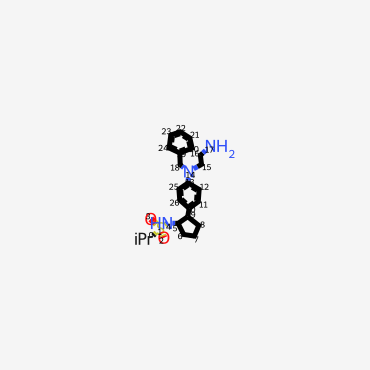 CC(C)S(=O)(=O)NC1CCCC1c1ccc(N(CCN)Cc2ccccc2)cc1